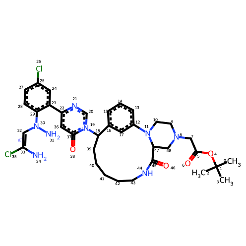 CC(C)(C)OC(=O)CN1CCN2c3cccc(c3)C(n3cnc(-c4cc(Cl)ccc4N(N)/C=C(\N)Cl)cc3=O)CCCCCNC(=O)C2C1